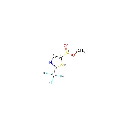 COS(=O)c1cnc(C(F)(F)F)s1